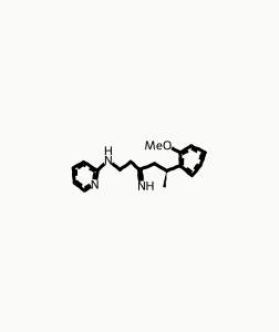 COc1ccccc1[C@@H](C)CC(=N)CCNc1ccccn1